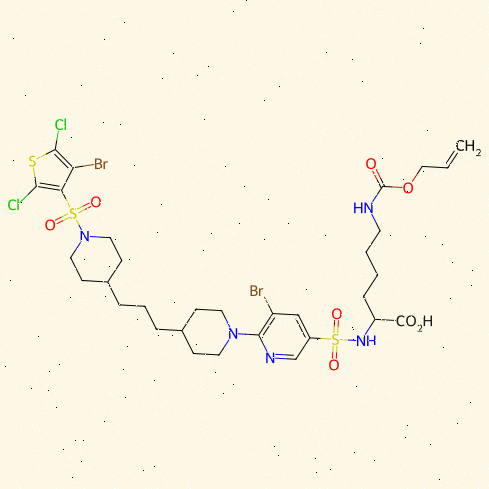 C=CCOC(=O)NCCCCC(NS(=O)(=O)c1cnc(N2CCC(CCCC3CCN(S(=O)(=O)c4c(Cl)sc(Cl)c4Br)CC3)CC2)c(Br)c1)C(=O)O